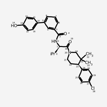 CC(C)[C@@H](NC(=O)c1cccc(-c2ccc(O)cc2)c1)C(=O)N1CC[C@H](c2ccc(Cl)cc2)C(C)(C)C1